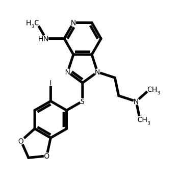 CNc1nccc2c1nc(Sc1cc3c(cc1I)OCO3)n2CCN(C)C